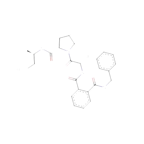 CC(C)[C@H](NC(=O)c1ccccc1C(=O)N[C@@H](C)c1ccccc1)C(=O)N1CCC[C@H]1C(=O)N[C@H](C=O)CC(=O)O